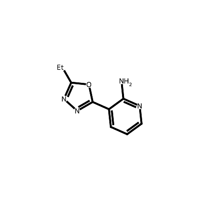 CCc1nnc(-c2cccnc2N)o1